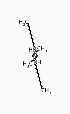 CCCCCCCCCCCCCCNC(CC)N1CCN(C(CC)NCCCCCCCCCCCCCC)CC1